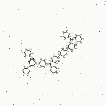 c1ccc(-c2cc(-c3ccc(-n4c5ccccc5c5cc(-c6ccc(-c7ccc8c9ccccc9n(-c9ccccc9)c8c7)cc6)ccc54)cc3)nc(-c3ccccc3)n2)cc1